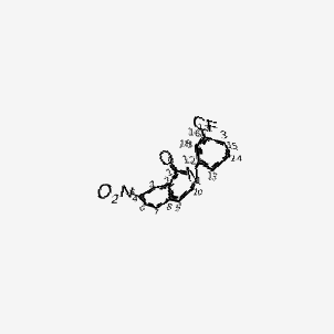 O=c1c2cc([N+](=O)[O-])ccc2ccn1-c1cccc(C(F)(F)F)c1